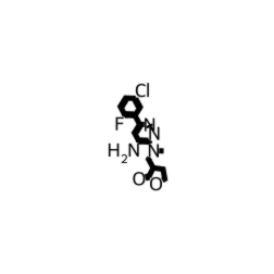 CN(CC1CCOC1=O)c1nnc(-c2cc(Cl)ccc2F)cc1N